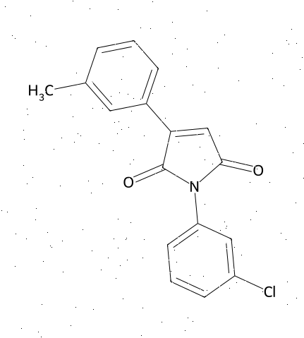 Cc1cccc(C2=CC(=O)N(c3cccc(Cl)c3)C2=O)c1